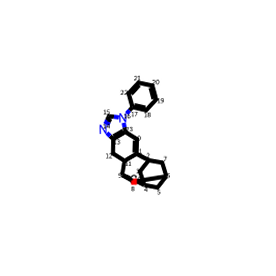 C1=C2C3CC4CC(C3)CC(C4)C2Cc2ncn(-c3ccccc3)c21